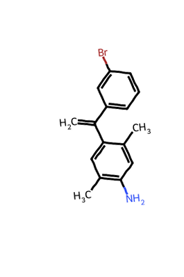 C=C(c1cccc(Br)c1)c1cc(C)c(N)cc1C